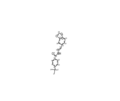 CC(C)(C)c1ccc(C(=O)NN=Cc2ccc3c(c2)OCO3)cc1